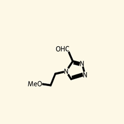 COCCn1cnnc1C=O